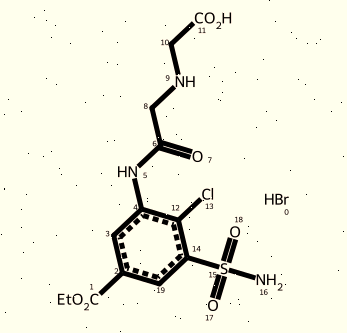 Br.CCOC(=O)c1cc(NC(=O)CNCC(=O)O)c(Cl)c(S(N)(=O)=O)c1